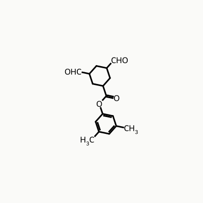 Cc1cc(C)cc(OC(=O)C2CC(C=O)CC(C=O)C2)c1